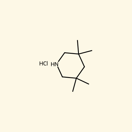 CC1(C)CNCC(C)(C)C1.Cl